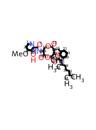 COc1ccnc(C(=O)N[C@H]2COC(=O)[C@H](Cc3ccccc3)[C@@H](OC(=O)/C=C(\C)CCC=C(C)C)[C@H](C)OC2=O)c1O